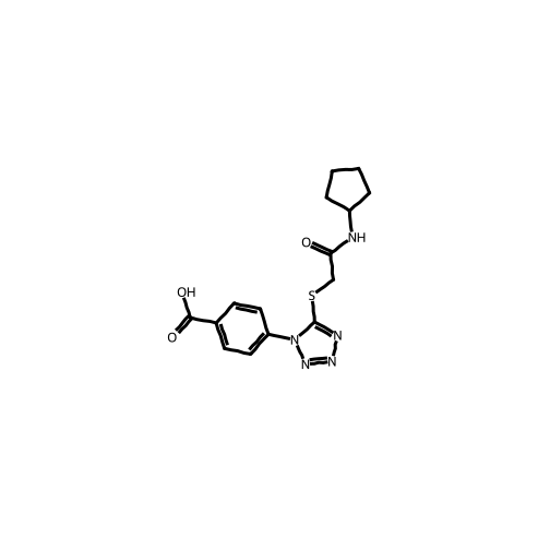 O=C(CSc1nnnn1-c1ccc(C(=O)O)cc1)NC1CCCC1